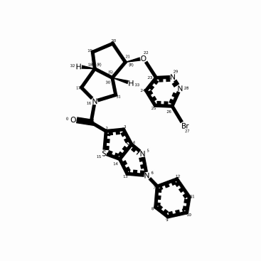 O=C(c1cc2nn(-c3ccccc3)cc2s1)N1C[C@@H]2CC[C@@H](Oc3ccc(Br)nn3)[C@@H]2C1